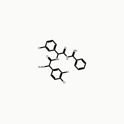 CC(=O)NC(C(=O)NC(C(=O)NC(=N)c1ccccc1)c1cccc(Cl)c1)c1ccc(Cl)c(Cl)c1